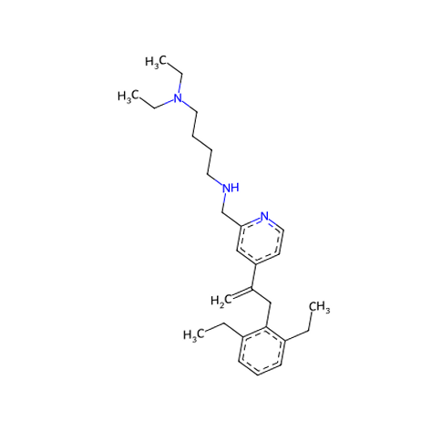 C=C(Cc1c(CC)cccc1CC)c1ccnc(CNCCCCN(CC)CC)c1